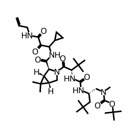 C=CCNC(=O)C(=O)C(NC(=O)[C@@H]1[C@@H]2[C@H](CN1C(=O)[C@@H](NC(=O)N[C@H](CN(C)C(=O)OC(C)(C)C)CC(C)(C)C)C(C)(C)C)C2(C)C)C1CC1